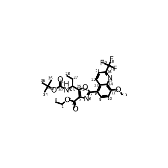 CCOC(=O)c1nc(-c2ccc(OC)c3nc(C(F)(F)F)ccc23)oc1[C@H](CC)NC(=O)OC(C)(C)C